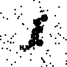 NCc1ccc(-c2nc3ccn4c(C5C=NN(Cc6ccccc6)C5)nnc4c3cc2-c2ccccc2)cc1